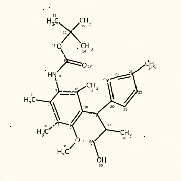 COc1c(C)c(C)c(NC(=O)OC(C)(C)C)c(C)c1C(c1ccc(C)cc1)C(C)CO